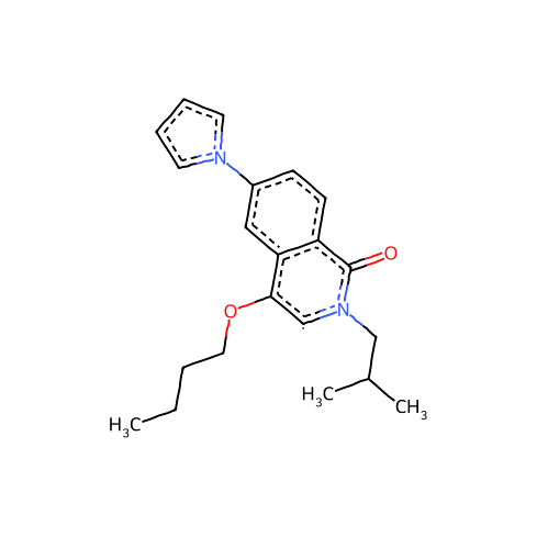 CCCCOc1[c]n(CC(C)C)c(=O)c2ccc(-n3cccc3)cc12